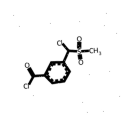 CS(=O)(=O)C(Cl)c1cccc(C(=O)Cl)c1